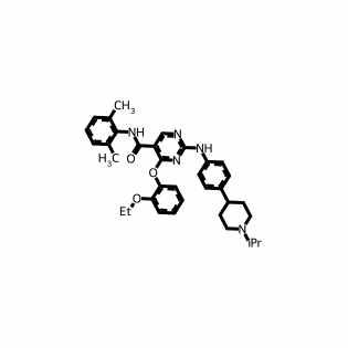 CCOc1ccccc1Oc1nc(Nc2ccc(C3CCN(C(C)C)CC3)cc2)ncc1C(=O)Nc1c(C)cccc1C